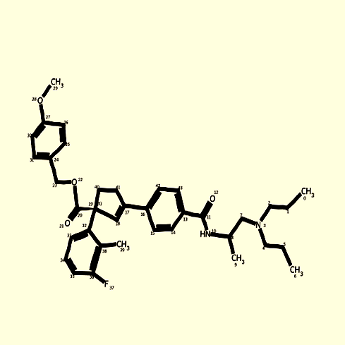 CCCN(CCC)CC(C)NC(=O)c1ccc(C2=C[C@](C(=O)OCc3ccc(OC)cc3)(c3cccc(F)c3C)CC2)cc1